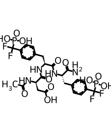 CC(=O)N[C@H](CC(=O)O)C(=O)N[C@@H](Cc1ccc(C(F)(F)P(=O)(O)O)cc1)C(=O)N[C@@H](Cc1ccc(C(F)(F)P(=O)(O)O)cc1)C(N)=O